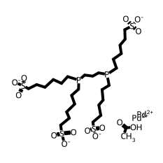 CC(=O)O.O=S(=O)([O-])CCCCCCP(CCCCCCS(=O)(=O)[O-])CCCP(CCCCCCS(=O)(=O)[O-])CCCCCCS(=O)(=O)[O-].[Pd+2].[Pd+2]